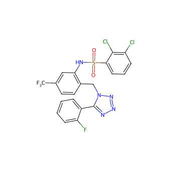 O=S(=O)(Nc1cc(C(F)(F)F)ccc1Cn1nnnc1-c1ccccc1F)c1cccc(Cl)c1Cl